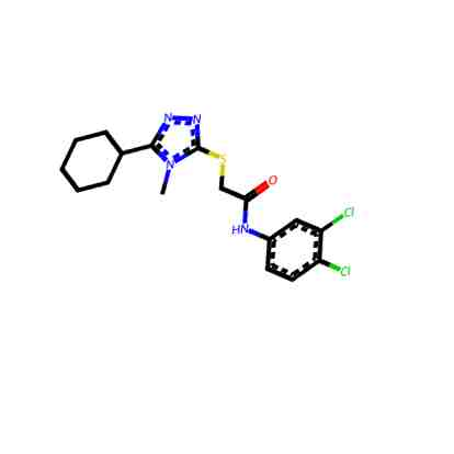 Cn1c(SCC(=O)Nc2ccc(Cl)c(Cl)c2)nnc1C1CCCCC1